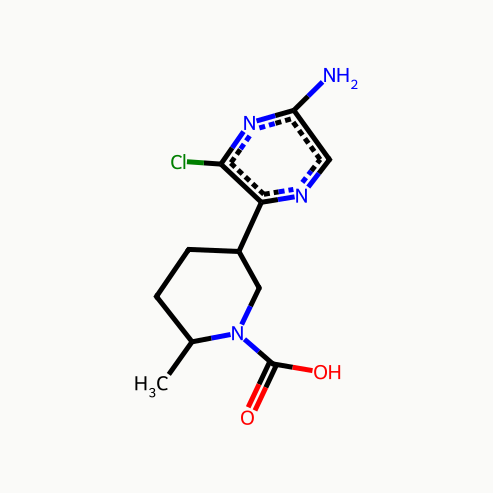 CC1CCC(c2ncc(N)nc2Cl)CN1C(=O)O